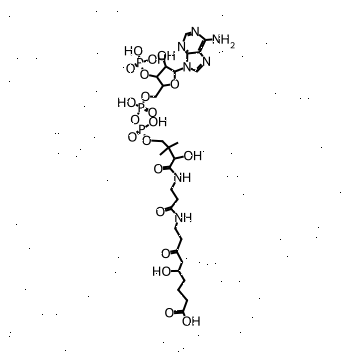 CC(C)(COP(=O)(O)OP(=O)(O)OCC1OC(n2cnc3c(N)ncnc32)C(O)C1OP(=O)(O)O)C(O)C(=O)NCCC(=O)NCCC(=O)CC(O)CCCC(=O)O